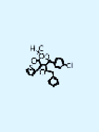 CCOC(=O)c1c(-c2cccs2)oc(Cc2ccccc2)c1C(=O)c1ccc(Cl)cc1